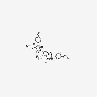 Cc1ccc(-c2nn3cc(C(=O)N[C@@H](c4ccc(F)cc4)C(F)(F)CO)c(C(F)(F)F)c3c(=O)[nH]2)cc1F